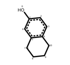 Oc1ccc2c(c1)[C]CCC2